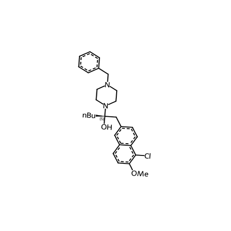 CCCC[C@](O)(Cc1ccc2c(Cl)c(OC)ccc2c1)N1CCN(Cc2ccccc2)CC1